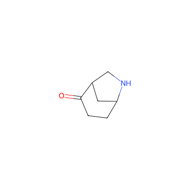 O=C1CCC2CC1CN2